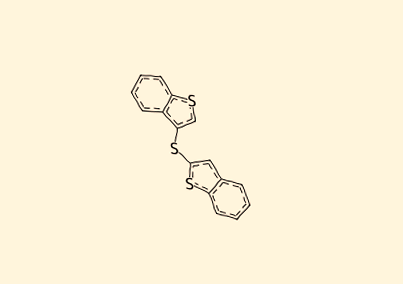 c1ccc2sc(Sc3csc4ccccc34)cc2c1